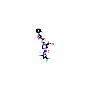 COC(=O)C1CN(C(=O)Cn2nc(C(F)F)cc2C(F)F)CCN1c1nc(C2=NOC(c3c(F)cccc3F)C2)cs1